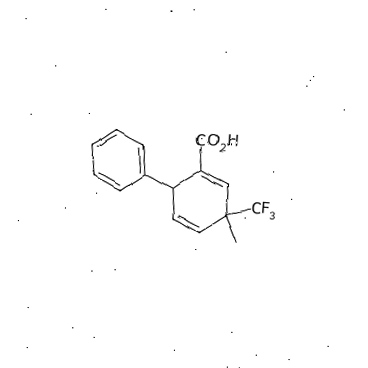 CC1(C(F)(F)F)C=CC(c2ccccc2)C(C(=O)O)=C1